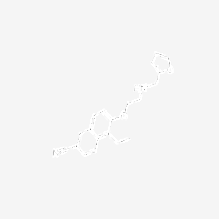 CCc1c(OCCNCc2ccco2)ccc2cc(C#N)ccc12